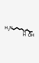 CC(O)[CH]NCCCCN